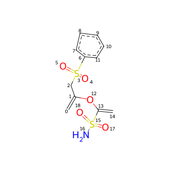 C=C(CS(=O)(=O)c1ccccc1)OC(=C)S(N)(=O)=O